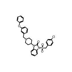 O=c1n(C2CCN(Cc3cccc(Oc4ccccc4)c3)CC2)c2ccccc2n1S(=O)(=O)Cc1ccc(Cl)cc1